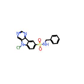 O=S(=O)(NCc1ccccc1)c1ccc2c(c1)c1ncncc1n2Cl